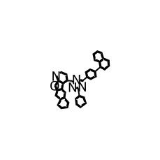 c1ccc(-c2nc(-c3ccc(-c4cccc5ccccc45)cc3)nc(-c3ccnc4oc5cc6ccccc6cc5c34)n2)cc1